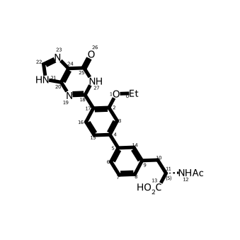 CCOc1cc(-c2cccc(C[C@H](NC(C)=O)C(=O)O)c2)ccc1-c1nc2[nH]cnc2c(=O)[nH]1